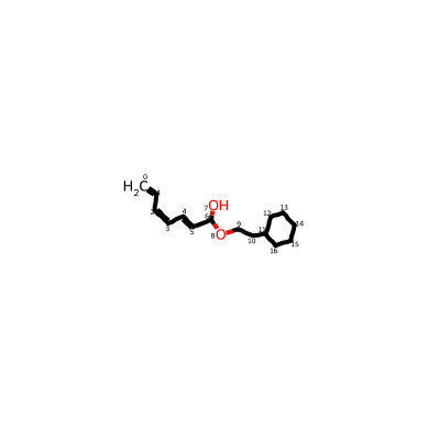 C=C/C=C\C=C\C(O)OCCC1CCCCC1